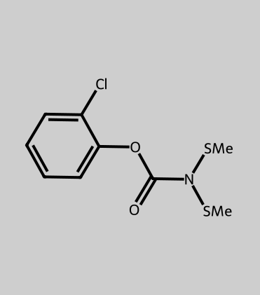 CSN(SC)C(=O)Oc1ccccc1Cl